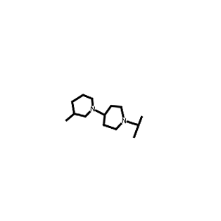 CC1CCCN(C2CCN(C(C)C)CC2)C1